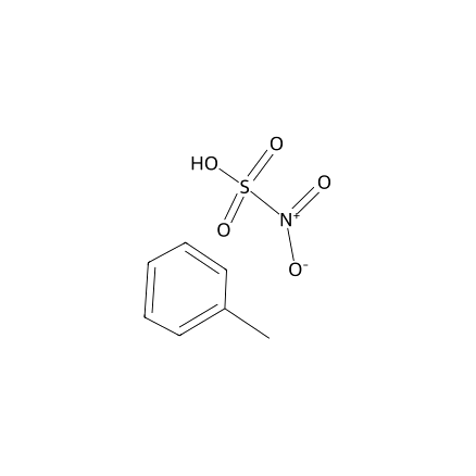 Cc1ccccc1.O=[N+]([O-])S(=O)(=O)O